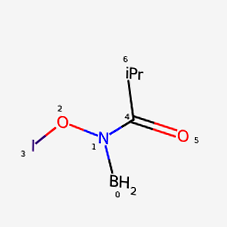 BN(OI)C(=O)C(C)C